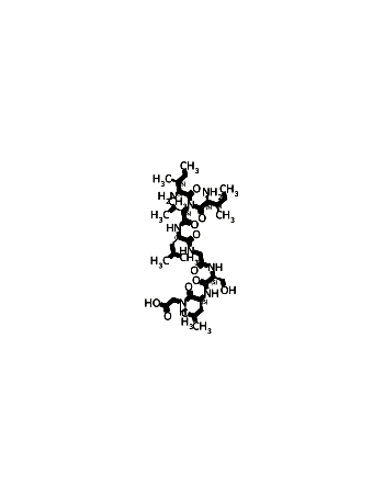 CC[C@H](C)[C@H](N)C(=O)N(C(=O)[C@@H](N)[C@@H](C)CC)[C@H](C(=O)N[C@@H](CC(C)C)C(=O)NCC(=O)N[C@@H](CO)C(=O)N[C@@H](CC(C)C)C(=O)NCC(=O)O)C(C)C